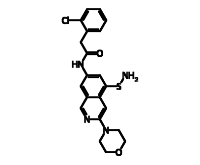 NSc1cc(NC(=O)Cc2ccccc2Cl)cc2cnc(N3CCOCC3)cc12